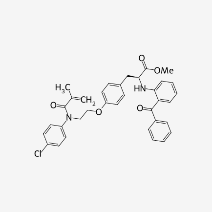 C=C(C)C(=O)N(CCOc1ccc(C[C@H](Nc2ccccc2C(=O)c2ccccc2)C(=O)OC)cc1)c1ccc(Cl)cc1